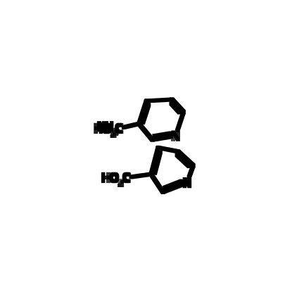 N.O=C(O)c1cccnc1.O=C(O)c1cccnc1